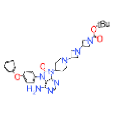 CC(C)(C)OC(=O)N1CC(N2CC(N3CCC(n4c(=O)n(-c5ccc(Oc6ccccc6)cc5)c5c(N)ncnc54)CC3)C2)C1